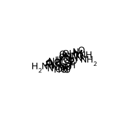 Nc1nc2c(ncn2[C@@H]2O[C@@H]3COP(=O)(O)O[C@H]4[C@@H](O)[C@H](n5cnc6c(N)ccnc65)O[C@@H]4COP(=O)(O)O[C@@H]2[C@H]3O)c(=O)[nH]1